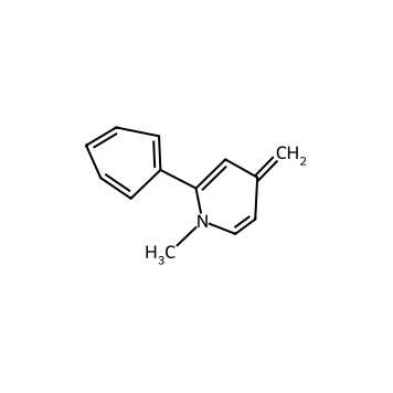 C=C1C=CN(C)C(c2ccccc2)=C1